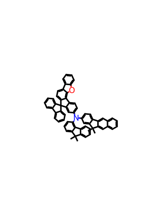 CC1(C)c2cc(N(c3ccc4c(c3)C3(c5ccccc5-c5ccccc53)c3ccc5c(oc6ccccc65)c3-4)c3cccc4c3-c3ccccc3C4(C)C)ccc2-c2cc3ccccc3cc21